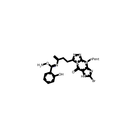 C=C(CCc1nnc2n(CCCCC)c3nc(Br)[nH]c3c(=O)n12)/N=C(\ON)c1ccccc1O